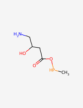 CPOC(=O)CC(O)CN